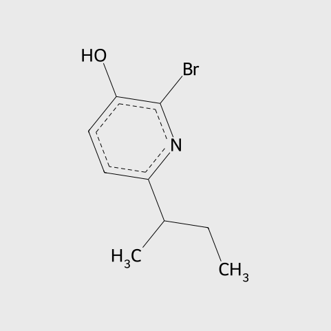 CCC(C)c1ccc(O)c(Br)n1